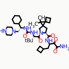 CC(C)(C)[C@H](NC(=O)N[C@H](CN1CCNCC1)C1CCCCC1)C(=O)N1CC2(C[C@H]1C(=O)NC(CC1CCC1)C(=O)C(N)=O)C(C)(C)C21CCC1